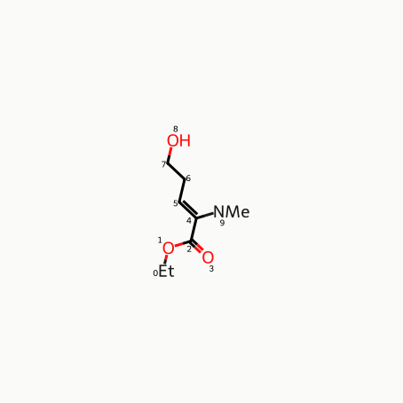 CCOC(=O)C(=CCCO)NC